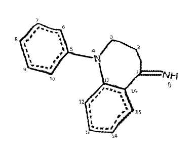 N=C1CCN(c2ccccc2)c2ccccc21